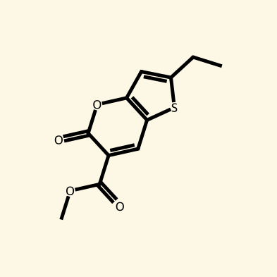 CCc1cc2oc(=O)c(C(=O)OC)cc2s1